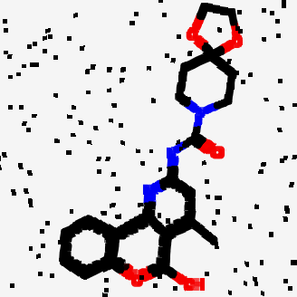 Cc1c/c(=N\C(=O)N2CCC3(CC2)OCCO3)nc2c3ccccc3oc(O)c1-2